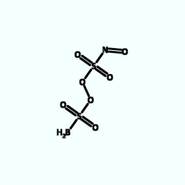 BS(=O)(=O)OOS(=O)(=O)N=O